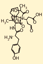 CC(O)C(=O)[N+](C(=O)[C@@H](NC(=O)[C@@H](N)Cc1ccc(O)cc1)C(C)C)([C@H](CC=O)CC(=O)O)C1(C)CCCCN1